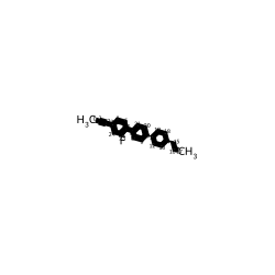 CC#Cc1ccc(-c2ccc([C@H]3CC[C@H](CCC)CC3)cc2)c(F)c1